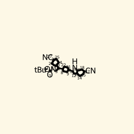 CC(C)(C)OC(=O)n1cc(-c2ccc(-c3cc4ccc(C#N)cc4[nH]3)cc2)c2ccc(C#N)cc21